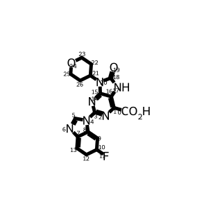 O=C(O)c1nc(-n2cnc3c2=CC(F)CC=3)nc2c1[nH]c(=O)n2C1CCOCC1